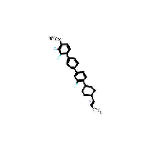 C/C=C/C1CCC(c2ccc(-c3ccc(-c4ccc(CCCCCC)c(F)c4F)cc3)cc2F)CC1